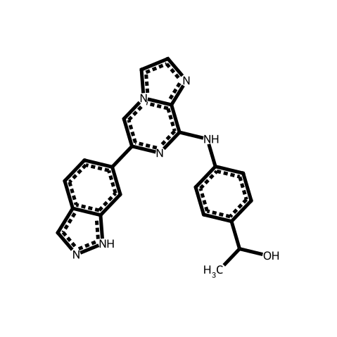 CC(O)c1ccc(Nc2nc(-c3ccc4cn[nH]c4c3)cn3ccnc23)cc1